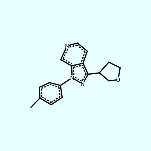 Cc1ccc(-n2nc(C3CCOC3)c3ccncc32)cc1